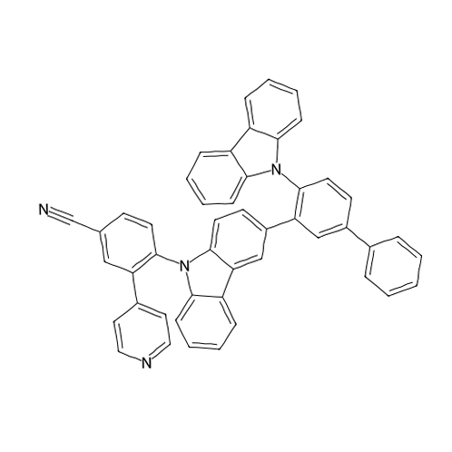 N#Cc1ccc(-n2c3ccccc3c3cc(-c4cc(-c5ccccc5)ccc4-n4c5ccccc5c5ccccc54)ccc32)c(-c2ccncc2)c1